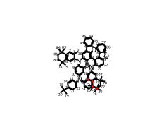 Cc1cc2c(cc1N1c3ccc(N(c4ccc(C(C)(C)C)cc4)c4ccc(C(C)(C)C)cc4)cc3B3c4c1cc1c(oc5ccccc51)c4-c1c(ccc4oc5ccccc5c14)N3c1ccc3c(c1)C(C)(C)CCC3(C)C)C(C)(C)CCC2(C)C